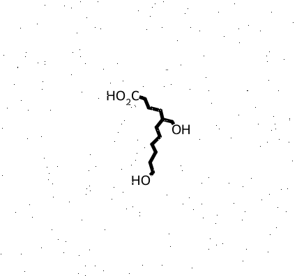 O=C(O)CCCC(CO)CCCCCCO